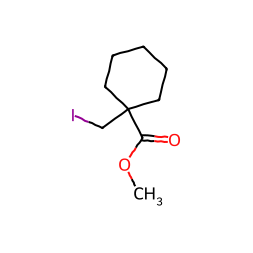 COC(=O)C1(CI)CCCCC1